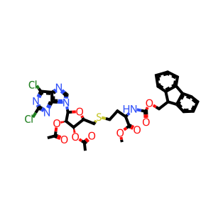 COC(=O)C(CCSCC1OC(n2cnc3c(Cl)nc(Cl)nc32)[C@H](OC(C)=O)[C@@H]1OC(C)=O)NC(=O)OCC1c2ccccc2-c2ccccc21